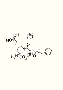 Cl.Cl.N[C@@H](CC(=O)OCc1ccccc1)C(=O)N1C[C@@H](CCB(O)O)C[C@](N)(C(=O)O)C1